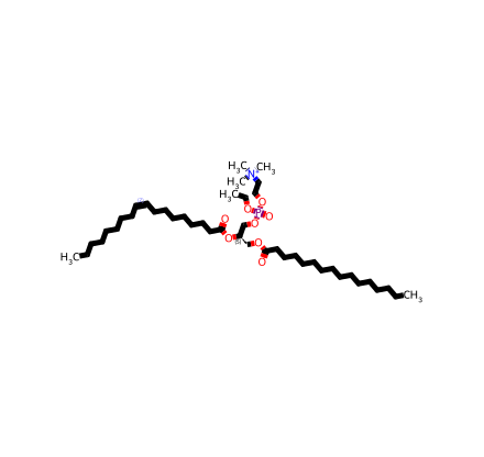 CCCCCCCC/C=C\CCCCCCCC(=O)O[C@@H](COC(=O)CCCCCCCCCCCCCCC)COP(=O)(OCC)OCC[N+](C)(C)C